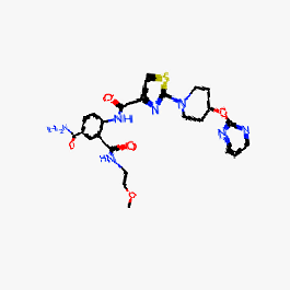 COCCNC(=O)c1cc(C(N)=O)ccc1NC(=O)c1csc(N2CCC(Oc3ncccn3)CC2)n1